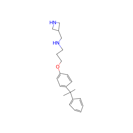 CC(C)(c1ccccc1)c1ccc(OCCCNCC2CNC2)cc1